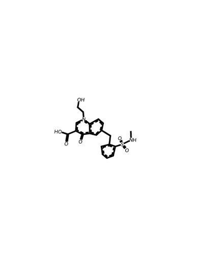 CNS(=O)(=O)c1ccccc1Cc1ccc2c(c1)c(=O)c(C(=O)O)cn2CCO